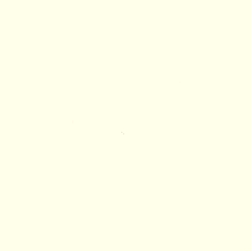 CCCCCCN(CCCC)CCCS